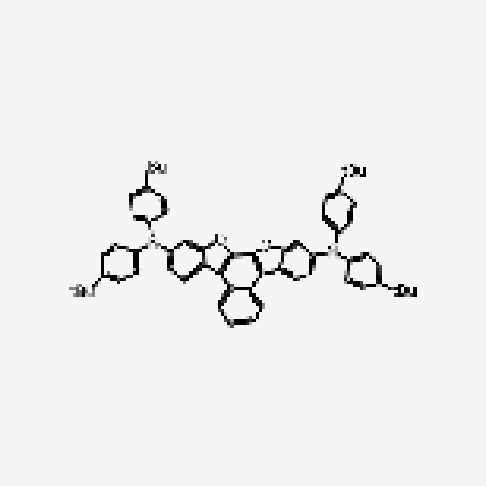 CC(C)(C)c1ccc(N(c2ccc(C(C)(C)C)cc2)c2ccc3c(c2)oc2c4oc5cc(N(c6ccc(C(C)(C)C)cc6)c6ccc(C(C)(C)C)cc6)ccc5c4c4ccccc4c32)cc1